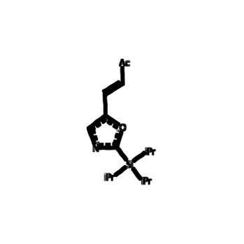 CC(=O)C=Cc1cnc([Si](C(C)C)(C(C)C)C(C)C)o1